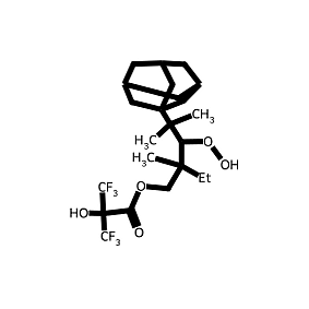 CCC(C)(COC(=O)C(O)(C(F)(F)F)C(F)(F)F)C(OO)C(C)(C)C12CC3CC(CC(C3)C1)C2